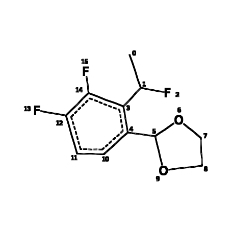 CC(F)c1c(C2OCCO2)ccc(F)c1F